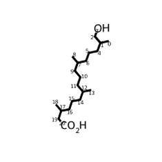 CC(CO)CCCC(C)CCCC(C)CCCC(C)CC(=O)O